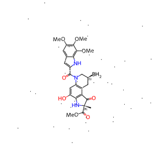 B[C@H]1Cc2c(cc(O)c3c2C(=O)[C@](C)(C(=O)OC)N3)N(C(=O)c2cc3cc(OC)c(OC)c(OC)c3[nH]2)C1